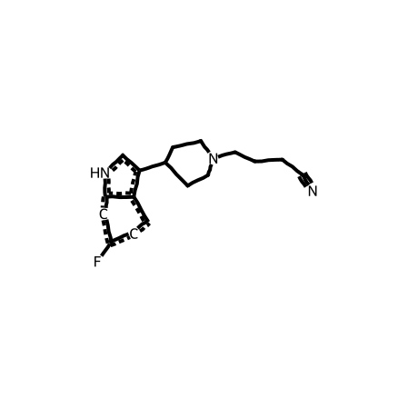 N#CCCCN1CCC(c2c[nH]c3cc(F)ccc23)CC1